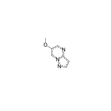 COc1cnc2ccnn2c1